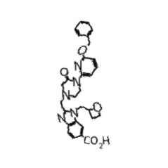 O=C(O)c1ccc2nc(CN3CCN(c4cccc(OCc5ccccc5)n4)C(=O)C3)n(CC3CCO3)c2c1